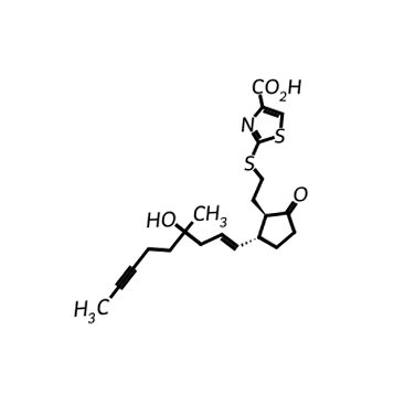 CC#CCCC(C)(O)CC=C[C@H]1CCC(=O)[C@@H]1CCSc1nc(C(=O)O)cs1